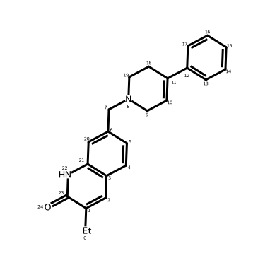 CCc1cc2ccc(CN3CC=C(c4ccccc4)CC3)cc2[nH]c1=O